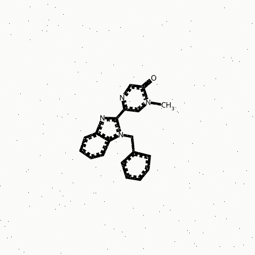 Cn1cc(-c2nc3ccccc3n2Cc2ccccc2)ncc1=O